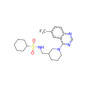 O=S(=O)(NCC1CCCN(c2ncnc3ccc(C(F)(F)F)cc23)C1)C1CCCCC1